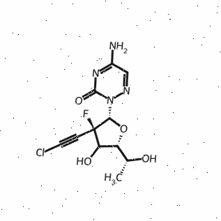 C[C@@H](O)[C@H]1O[C@@H](n2ncc(N)nc2=O)[C@@](F)(C#CCl)C1O